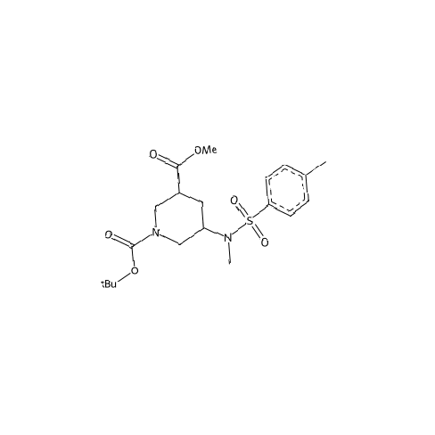 COC(=O)C1CC(N(C)S(=O)(=O)c2ccc(C)cc2)CN(C(=O)OC(C)(C)C)C1